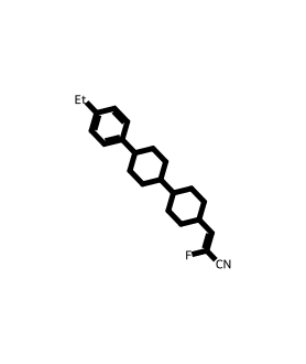 CCc1ccc(C2CCC(C3CCC(C=C(F)C#N)CC3)CC2)cc1